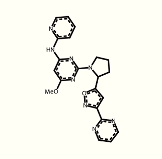 COc1cc(Nc2ccccn2)nc(N2CCCC2c2cc(-c3ncccn3)no2)n1